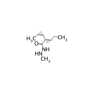 C/C=C\C(=C/CC)C(=O)NNC